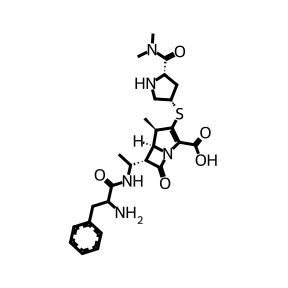 CC(NC(=O)C(N)Cc1ccccc1)[C@H]1C(=O)N2C(C(=O)O)=C(S[C@@H]3CN[C@H](C(=O)N(C)C)C3)[C@H](C)[C@H]12